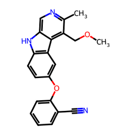 COCc1c(C)ncc2[nH]c3ccc(Oc4ccccc4C#N)cc3c12